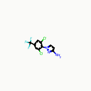 Nc1ccn(-c2c(Cl)cc(C(F)(F)F)cc2Cl)n1